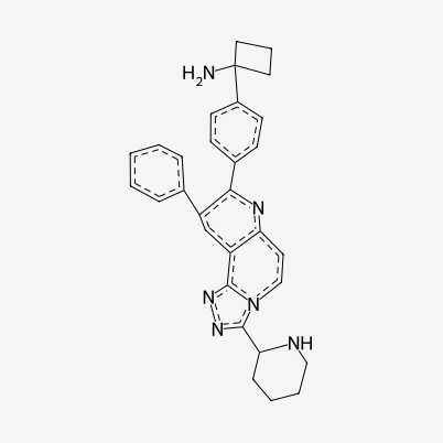 NC1(c2ccc(-c3nc4ccn5c(C6CCCCN6)nnc5c4cc3-c3ccccc3)cc2)CCC1